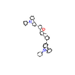 C1=CC(n2c3ccccc3c3cc(-c4ccc5c(c4)-c4ccc6c(oc7ccc(-c8ccc9c(c8)c8ccccc8n9-c8ccccc8)cc76)c4C5)ccc32)=CCC1